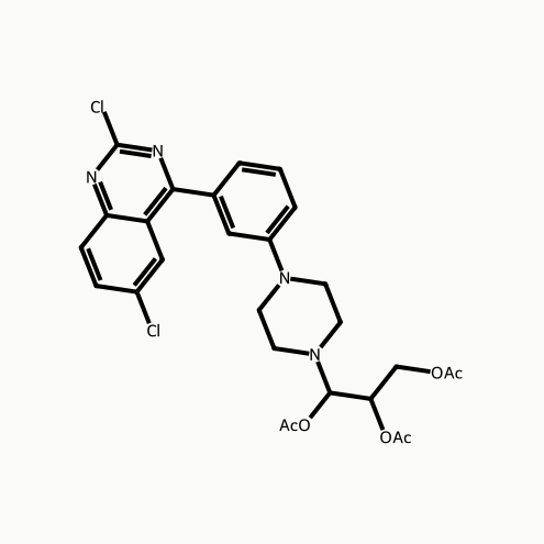 CC(=O)OCC(OC(C)=O)C(OC(C)=O)N1CCN(c2cccc(-c3nc(Cl)nc4ccc(Cl)cc34)c2)CC1